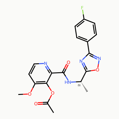 COc1ccnc(C(=O)N[C@@H](C)c2nc(-c3ccc(F)cc3)no2)c1OC(C)=O